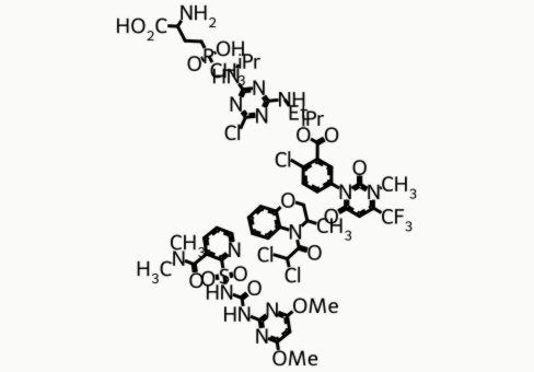 CC(C)OC(=O)c1cc(-n2c(=O)cc(C(F)(F)F)n(C)c2=O)ccc1Cl.CC1COc2ccccc2N1C(=O)C(Cl)Cl.CCNc1nc(Cl)nc(NC(C)C)n1.COc1cc(OC)nc(NC(=O)NS(=O)(=O)c2ncccc2C(=O)N(C)C)n1.CP(=O)(O)CCC(N)C(=O)O